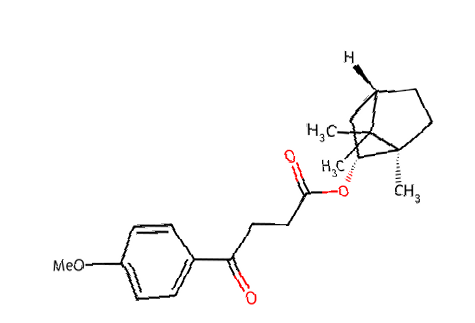 COc1ccc(C(=O)CCC(=O)O[C@@H]2C[C@@H]3CC[C@]2(C)C3(C)C)cc1